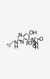 O=C1CN(c2c(O)cc3ncc(NCC4CC4)nc3c2F)S(=O)(=O)N1